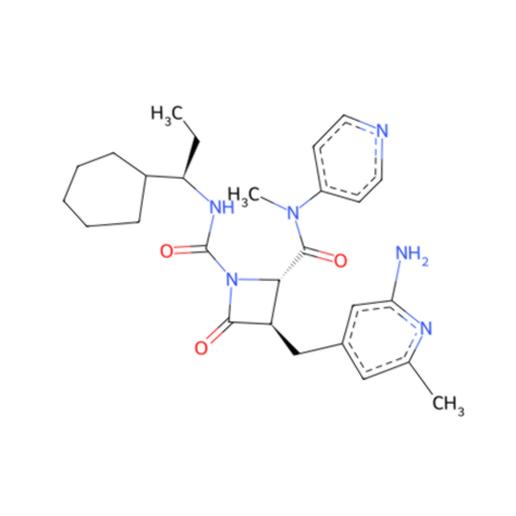 CC[C@@H](NC(=O)N1C(=O)[C@H](Cc2cc(C)nc(N)c2)[C@H]1C(=O)N(C)c1ccncc1)C1CCCCC1